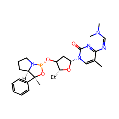 CC[C@H]1O[C@@H](n2cc(C)c(/N=C\N(C)C)nc2=O)CC1O[P@]1O[C@@](C)(c2ccccc2)[C@H]2CCCN21